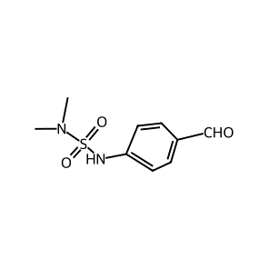 CN(C)S(=O)(=O)Nc1ccc(C=O)cc1